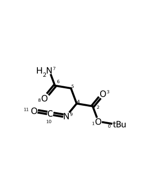 CC(C)(C)OC(=O)C(CC(N)=O)N=C=O